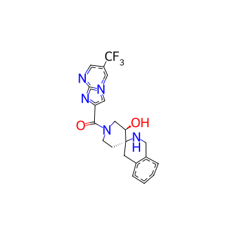 O=C(c1cn2cc(C(F)(F)F)cnc2n1)N1CC[C@]2(Cc3ccccc3CN2)[C@H](O)C1